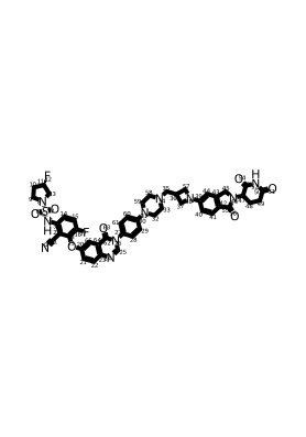 N#Cc1c(NS(=O)(=O)N2CC[C@@H](F)C2)ccc(F)c1Oc1ccc2ncn(-c3ccc(N4CCN(CC5CN(c6ccc7c(c6)CN(C6CCC(=O)NC6=O)C7=O)C5)CC4)cc3)c(=O)c2c1